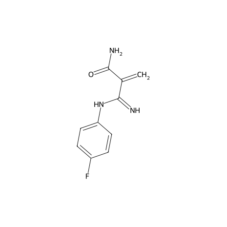 C=C(C(=N)Nc1ccc(F)cc1)C(N)=O